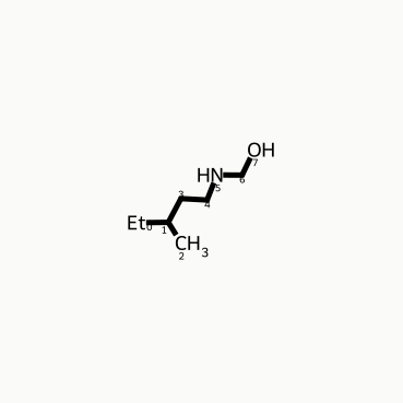 CCC(C)CCNCO